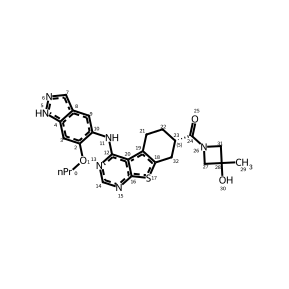 CCCOc1cc2[nH]ncc2cc1Nc1ncnc2sc3c(c12)CC[C@H](C(=O)N1CC(C)(O)C1)C3